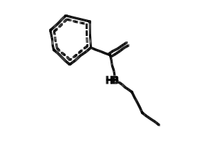 C=C(BCCC)c1ccccc1